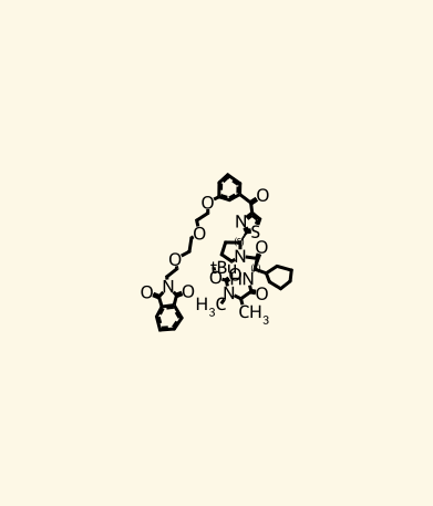 CC(C(=O)N[C@H](C(=O)N1CCC[C@H]1c1nc(C(=O)c2cccc(OCCOCCOCCN3C(=O)c4ccccc4C3=O)c2)cs1)C1CCCCC1)N(C)C(=O)OC(C)(C)C